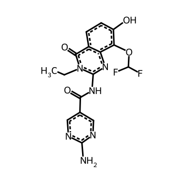 CCn1c(NC(=O)c2cnc(N)nc2)nc2c(OC(F)F)c(O)ccc2c1=O